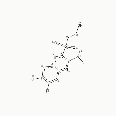 CN(C)c1nc2cc(Cl)c(Cl)cc2nc1S(=O)(=O)CCO